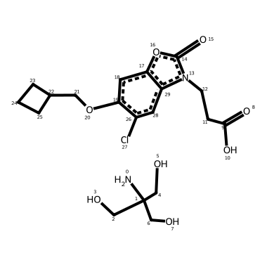 NC(CO)(CO)CO.O=C(O)CCn1c(=O)oc2cc(OCC3CCC3)c(Cl)cc21